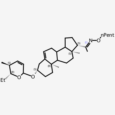 CCCCCO/N=C(\C)[C@H]1CCC2C3CC=C4C[C@@H](OC5C=C[C@H](C)[C@@H](CC)O5)CC[C@]4(C)C3CC[C@@]21C